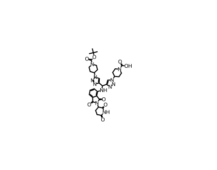 CC(C)(C)OC(=O)N1CCC(n2cc(C(Nc3cccc4c3C(=O)N(C3CCC(=O)NC3=O)C4=O)c3cn(C4CCN(C(=O)O)CC4)nn3)nn2)CC1